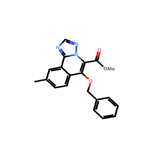 COC(=O)c1c(OCc2ccccc2)c2ccc(C)cc2c2ncnn12